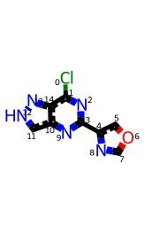 Clc1nc(-c2cocn2)nc2c[nH]nc12